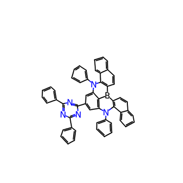 c1ccc(-c2nc(-c3ccccc3)nc(-c3cc4c5c(c3)N(c3ccccc3)c3c(ccc6ccccc36)B5c3ccc5ccccc5c3N4c3ccccc3)n2)cc1